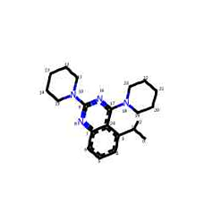 CC(C)c1cccc2nc(N3CCCCC3)nc(N3CCCCC3)c12